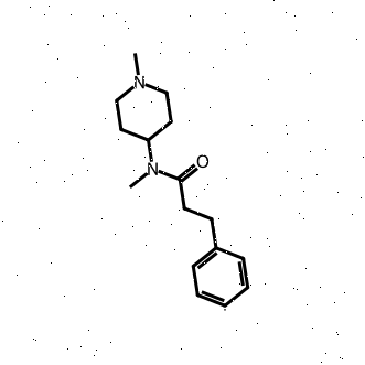 CN1CCC(N(C)C(=O)CCc2cc[c]cc2)CC1